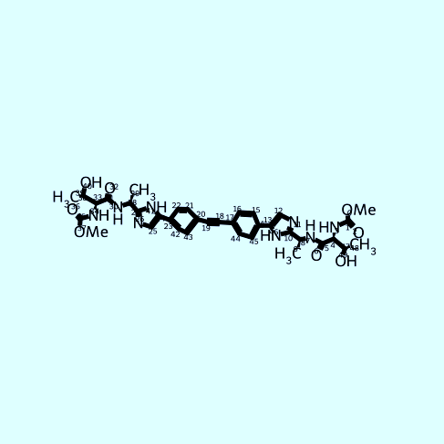 COC(=O)N[C@H](C(=O)N[C@@H](C)c1ncc(-c2ccc(C#Cc3ccc(-c4cnc([C@H](C)NC(=O)[C@@H](NC(=O)OC)[C@@H](C)O)[nH]4)cc3)cc2)[nH]1)[C@@H](C)O